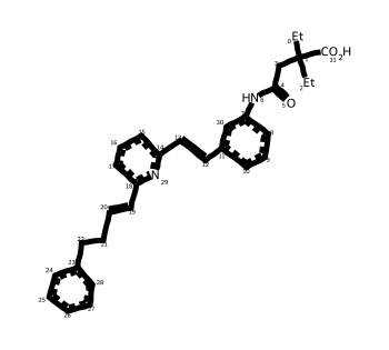 CCC(CC)(CC(=O)Nc1cccc(C=Cc2cccc(C=CCCc3ccccc3)n2)c1)C(=O)O